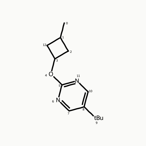 CC1CC(Oc2ncc(C(C)(C)C)cn2)C1